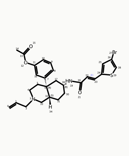 C=CCN1CC[C@@]2(c3cccc(OC(C)=O)c3)C[C@H](NC(=O)/C=C/c3cc(Br)cs3)CC[C@@H]2C1